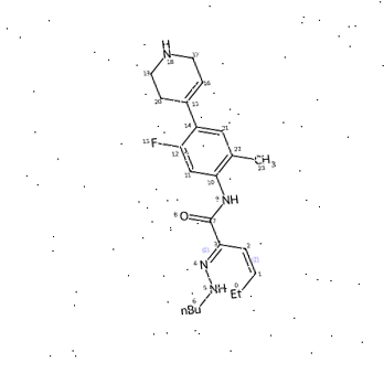 CC/C=C\C(=N/NCCCC)C(=O)Nc1cc(F)c(C2=CCNCC2)cc1C